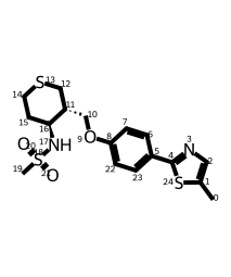 Cc1cnc(-c2ccc(OC[C@H]3CSCC[C@@H]3NS(C)(=O)=O)cc2)s1